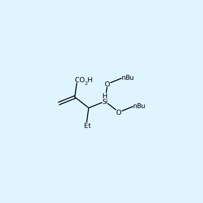 C=C(C(=O)O)C(CC)[SiH](OCCCC)OCCCC